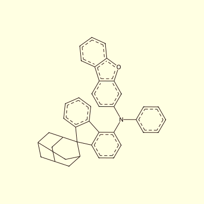 c1ccc(N(c2ccc3c(c2)oc2ccccc23)c2cccc3c2-c2ccccc2C32C3CC4CC(C3)CC2C4)cc1